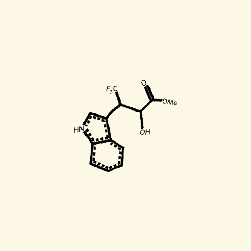 COC(=O)C(O)C(c1c[nH]c2ccccc12)C(F)(F)F